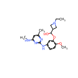 CCN1CC(C(O)Oc2cc(Nc3nc(C)cc(NC)n3)ccc2OC)C1